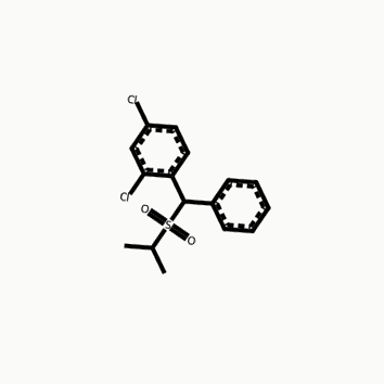 CC(C)S(=O)(=O)C(c1ccccc1)c1ccc(Cl)cc1Cl